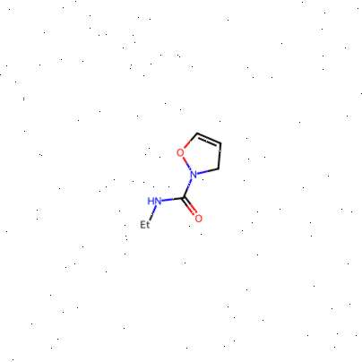 CCNC(=O)N1CC=CO1